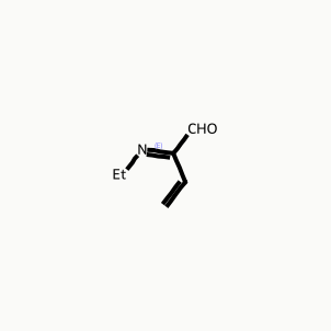 C=C/C(C=O)=N\CC